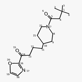 CC(C)(C)CC(=O)N1CCC(CCCC(=O)c2ncco2)CC1